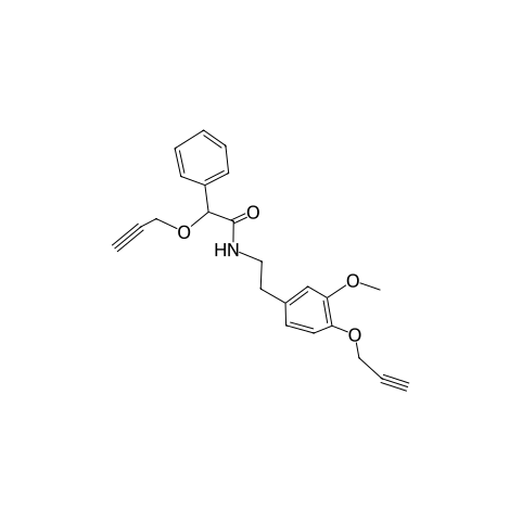 C#CCOc1ccc(CCNC(=O)C(OCC#C)c2ccccc2)cc1OC